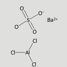 O=S(=O)([O-])[O-].[Ba+2].[Cl][Al]([Cl])[Cl]